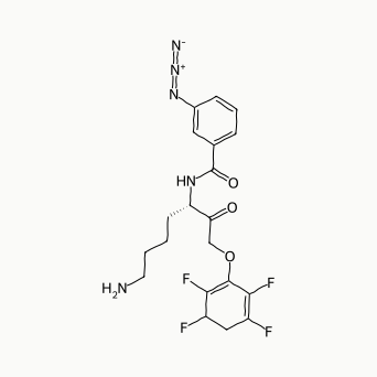 [N-]=[N+]=Nc1cccc(C(=O)N[C@@H](CCCCN)C(=O)COC2=C(F)C(F)CC(F)=C2F)c1